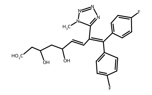 Cn1nnnc1C(C=CC(O)CC(O)CC(=O)O)=C(c1ccc(F)cc1)c1ccc(F)cc1